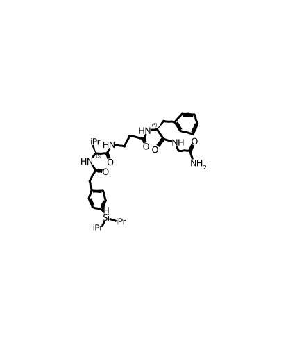 CC(C)[C@H](NC(=O)Cc1ccc([SiH](C(C)C)C(C)C)cc1)C(=O)NCCC(=O)N[C@@H](Cc1ccccc1)C(=O)NCC(N)=O